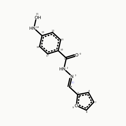 O=C(N/N=C/c1ccco1)c1ccc(NO)cc1